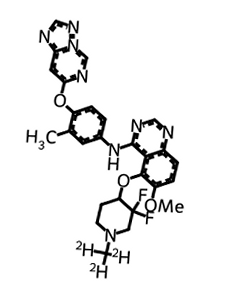 [2H]C([2H])([2H])N1CCC(Oc2c(OC)ccc3ncnc(Nc4ccc(Oc5cc6ncnn6cn5)c(C)c4)c23)C(F)(F)C1